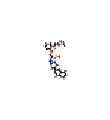 Cc1nnc(C=Cc2ccccc2OCC(O)CN2CCC(c3ccc4ccccc4c3)CC2)o1